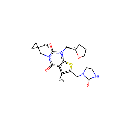 Cc1c(CN2CCNC2=O)sc2c1c(=O)n(CC1(C)CC1)c(=O)n2C[C@H]1CCCO1